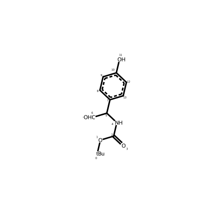 CC(C)(C)OC(=O)NC([C]=O)c1ccc(O)cc1